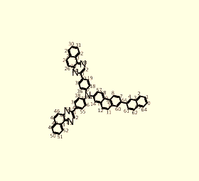 c1ccc2cc(-c3ccc4c(ccc5cc(N(c6ccc(-c7cnc8c(ccc9ccccc98)n7)cc6)c6ccc(-c7cnc8c(ccc9ccccc98)n7)cc6)ccc54)c3)ccc2c1